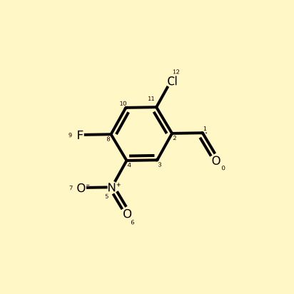 O=[C]c1cc([N+](=O)[O-])c(F)cc1Cl